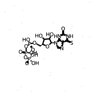 O=c1[nH]c(=S)c2ncn([C@H]3O[C@@H](COP(=O)(O)OP(=O)(O)OP(=O)(O)O)C(O)C3O)c2[nH]1